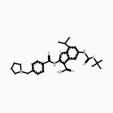 CC(C)c1cc(NC(=O)OC(C)(C)C)cc2c(C(N)=O)c(NC(=O)c3ccc(CN4CCCC4)cc3)sc12